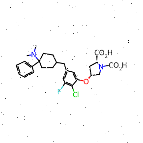 CN(C)C1(c2ccccc2)CCC(Cc2cc(F)c(Cl)c(O[C@H]3C[C@@H](C(=O)O)N(C(=O)O)C3)c2)CC1